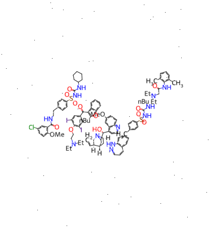 C1=Cc2ccccc2NN=C1.C=C[C@H]1C[N@]2CC[C@H]1C[C@@H]2[C@@H](O)c1ccnc2ccc(OC)cc12.CCCCNC(=O)NS(=O)(=O)c1ccc(C)cc1.CCCCc1oc2ccccc2c1C(=O)c1cc(I)c(OCCN(CC)CC)c(I)c1.CCN(CC)CC(=O)Nc1c(C)cccc1C.COc1ccc(Cl)cc1C(=O)NCCc1ccc(S(=O)(=O)NC(=O)NC2CCCCC2)cc1